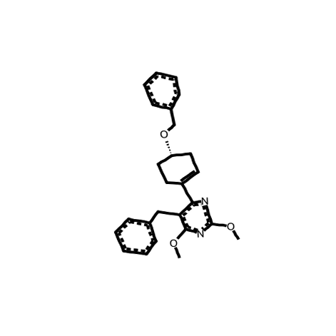 COc1nc(OC)c(Cc2ccccc2)c(C2=CC[C@@H](OCc3ccccc3)CC2)n1